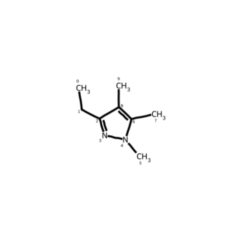 CCc1nn(C)c(C)c1C